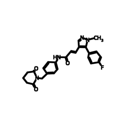 Cn1ncc(C=CC(=O)Nc2ccc(CN3C(=O)CCCC3=O)cc2)c1-c1ccc(F)cc1